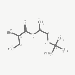 CCCCCCC(C)(C)OCC(C)OC(=O)C(CC(C)(C)C)C(C)(C)C